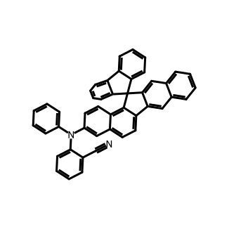 N#Cc1ccccc1N(c1ccccc1)c1ccc2c3c(ccc2c1)-c1cc2ccccc2cc1C31c2ccccc2-c2ccccc21